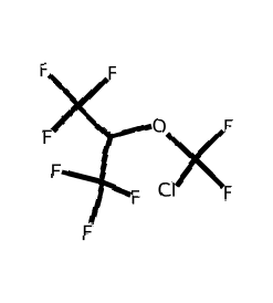 FC(F)(Cl)OC(C(F)(F)F)C(F)(F)F